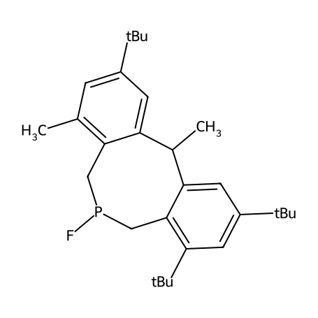 Cc1cc(C(C)(C)C)cc2c1CP(F)Cc1c(cc(C(C)(C)C)cc1C(C)(C)C)C2C